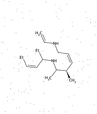 C=CNC/C=C\[C@@H](C)C(C)NC(/C=C\CC)CC